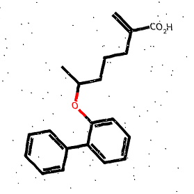 C=C(CCCC(C)Oc1ccccc1-c1ccccc1)C(=O)O